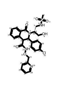 CS(=O)(=O)NC[C@H](CO)N1C(=O)c2ccccc2C(C(=O)NOCc2ccccn2)C1c1ccc(Cl)cc1